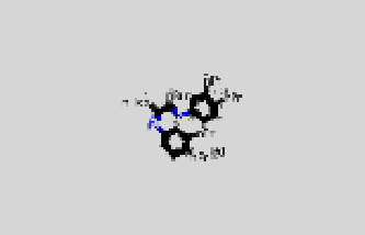 CCCCCCC(=Nc1ccc(CCC)c(CCC)c1)C(CCCC)=Nc1ccc(CCC)c(CCC)c1.[Pd]